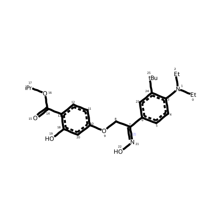 CCN(CC)c1ccc(/C(COc2ccc(C(=O)OC(C)C)c(O)c2)=N/O)cc1C(C)(C)C